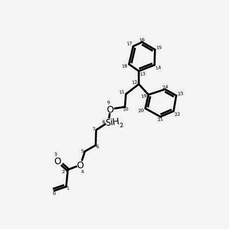 C=CC(=O)OCCC[SiH2]OCCC(c1ccccc1)c1ccccc1